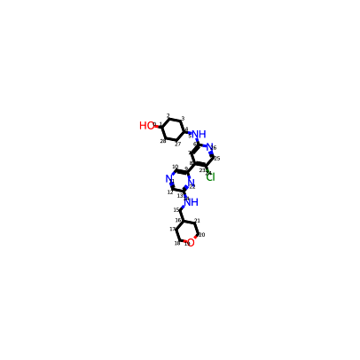 OC1CCC(Nc2cc(-c3cncc(NCC4CCOCC4)n3)c(Cl)cn2)CC1